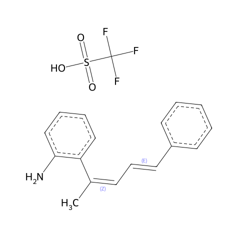 C/C(=C/C=C/c1ccccc1)c1ccccc1N.O=S(=O)(O)C(F)(F)F